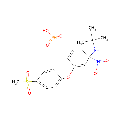 CC(C)(C)NC1([N+](=O)[O-])C=C(Oc2ccc(S(C)(=O)=O)cc2)C=CC1.O=[PH](O)O